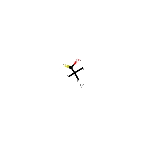 CC(C)(C)C([O-])=S.[Li+]